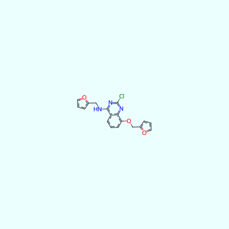 Clc1nc(NCc2ccco2)c2cccc(OCc3ccco3)c2n1